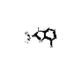 O=[N+]([O-])c1nc2c(Br)cccc2[nH]1